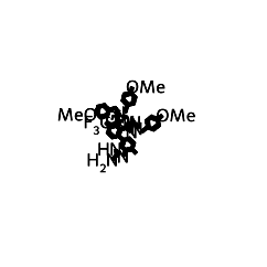 COc1ccc(CN(Cc2ccc(OC)cc2)S(=O)(=O)c2c(C(F)(F)F)ccc(-c3ccc(C)c4nc(N)[nH]c34)c2-c2nnn(Cc3ccc(OC)cc3)n2)cc1